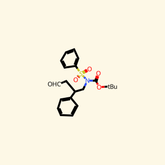 CC(C)(C)OC(=O)N(CC(CC=O)c1ccccc1)S(=O)(=O)c1ccccc1